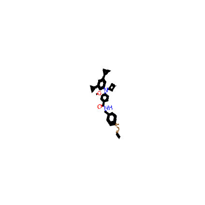 CCSc1ccc(CNC(=O)c2ccc(N(c3cc(C4CC4)cc(C4CC4)c3)C3CCC3)c(OC)c2)cc1